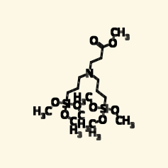 COC(=O)CCN(CCC[Si](OC)(OC)OC)CCC[Si](OC)(OC)OC